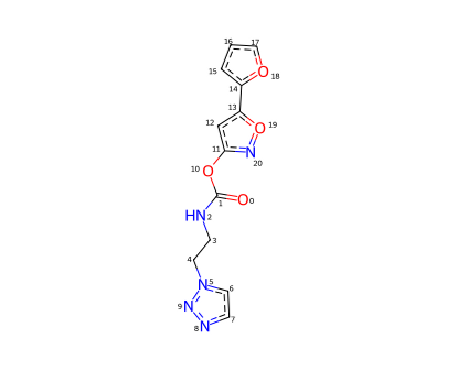 O=C(NCCn1ccnn1)Oc1cc(-c2ccco2)on1